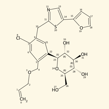 C=CCOCc1cc(Cl)c(Cc2ncc(-c3ccco3)s2)cc1[C@@H]1O[C@H](CO)[C@@H](O)[C@H](O)[C@H]1O